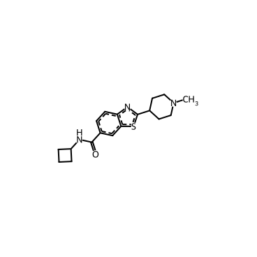 CN1CCC(c2nc3ccc(C(=O)NC4CCC4)cc3s2)CC1